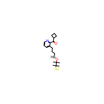 CC(C)(S)C(C)(C)OBCCCc1cccnc1C(=O)C1CCC1